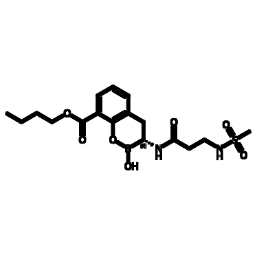 CCCCOC(=O)c1cccc2c1OB(O)[C@@H](NC(=O)CCNS(C)(=O)=O)C2